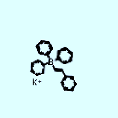 C(=C[B-](c1ccccc1)(c1ccccc1)c1ccccc1)c1ccccc1.[K+]